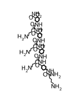 COc1ccc(NC(=O)[C@H](CCCCN)NC(=O)c2cc(NC(=O)[C@H](CCCCN)NC(=O)c3cc(NC(=O)[C@H](CCCCN)NC(=O)c4ccc(NC(=O)[C@@H](N)CCCCN)cc4)ccc3OC)ccc2OC)cc1C(N)=O